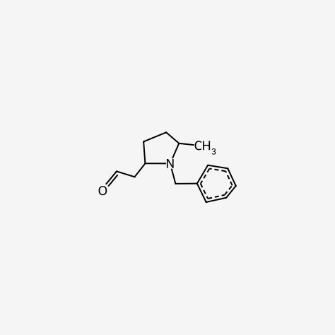 CC1CCC(CC=O)N1Cc1ccccc1